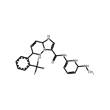 CNC1C=CC=C(NC(=O)C2=CNC3C=CC(c4ccccc4C(F)(F)F)NN23)N1